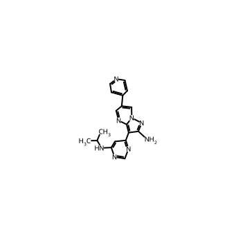 CC(C)Nc1cc(-c2c(N)nn3cc(-c4ccncc4)cnc23)ncn1